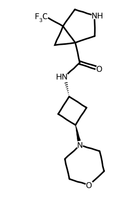 O=C(N[C@H]1C[C@H](N2CCOCC2)C1)C12CNCC1(C(F)(F)F)C2